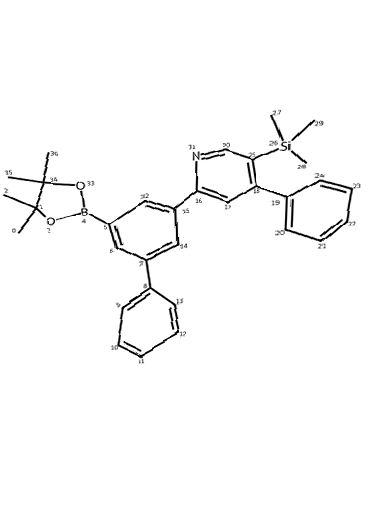 CC1(C)OB(c2cc(-c3ccccc3)cc(-c3cc(-c4ccccc4)c([Si](C)(C)C)cn3)c2)OC1(C)C